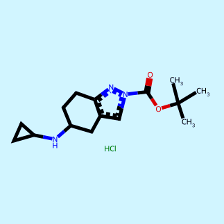 CC(C)(C)OC(=O)n1cc2c(n1)CCC(NC1CC1)C2.Cl